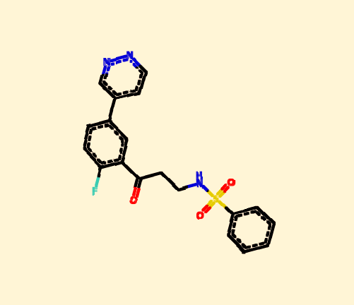 O=C(CCNS(=O)(=O)c1ccccc1)c1cc(-c2ccnnc2)ccc1F